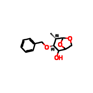 C[C@@H]1C2OCC(O2)C(O)[C@@H]1OCc1ccccc1